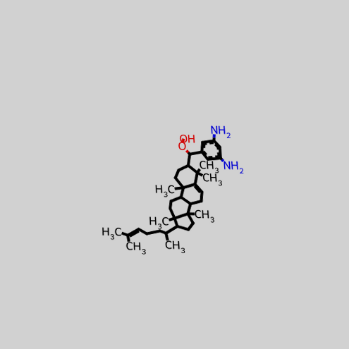 CC(C)=CCCC(C)C1CCC2(C)C3CC=C4C(C)(C)C(C(OO)c5cc(N)cc(N)c5)CCC4(C)C3CCC12C